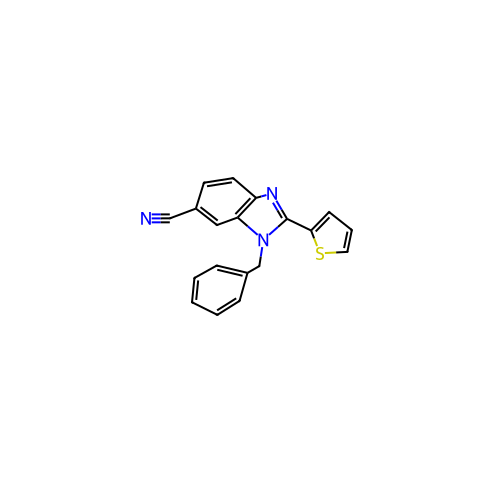 N#Cc1ccc2nc(-c3cccs3)n(Cc3ccccc3)c2c1